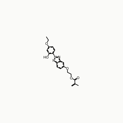 C=C(C)C(=O)OCCOc1ccc2nn(-c3ccc(OCC)cc3O)nc2c1